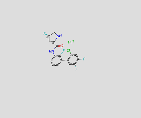 Cl.O=C(Nc1cccc(-c2cc(F)c(F)cc2Cl)c1F)[C@@H]1C[C@@H](F)CN1